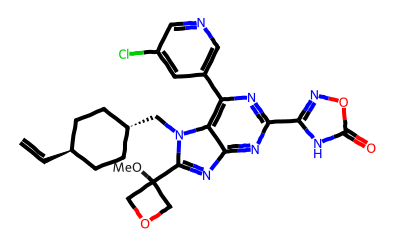 C=C[C@H]1CC[C@H](Cn2c(C3(OC)COC3)nc3nc(-c4noc(=O)[nH]4)nc(-c4cncc(Cl)c4)c32)CC1